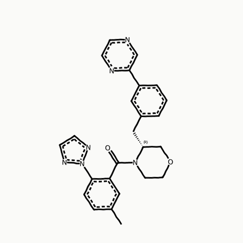 Cc1ccc(-n2nccn2)c(C(=O)N2CCOC[C@H]2Cc2cccc(-c3cnccn3)c2)c1